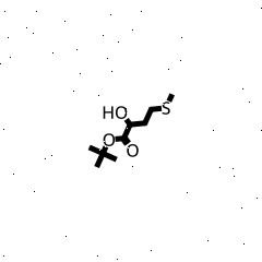 CSCCC(O)C(=O)OC(C)(C)C